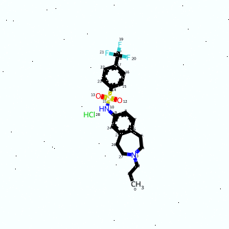 CCCN1CCc2ccc(NS(=O)(=O)c3ccc(C(F)(F)F)cc3)cc2CC1.Cl